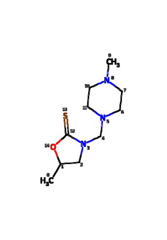 CC1CN(CN2CCN(C)CC2)C(=S)O1